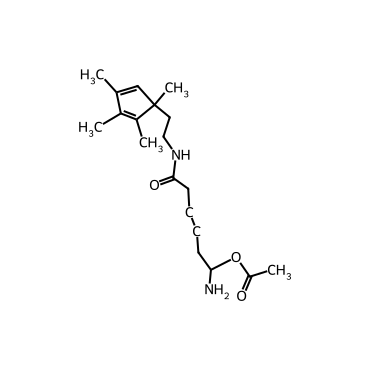 CC(=O)OC(N)CCCCC(=O)NCCC1(C)C=C(C)C(C)=C1C